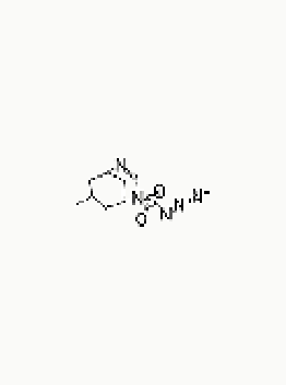 CC1CC2CC(C1)N(S(=O)(=O)N=[N+]=[N-])C=N2